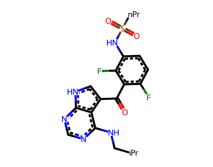 CCCS(=O)(=O)Nc1ccc(F)c(C(=O)c2c[nH]c3ncnc(NCC(C)C)c23)c1F